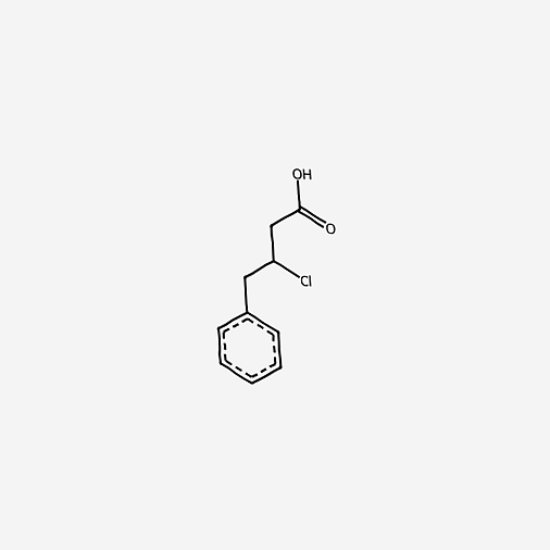 O=C(O)CC(Cl)Cc1ccccc1